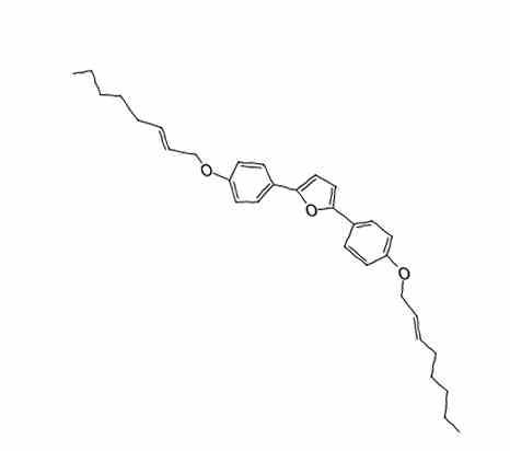 CCCCC/C=C/COc1ccc(-c2ccc(-c3ccc(OC/C=C/CCCCC)cc3)o2)cc1